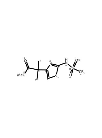 COC(=O)C(C)(C)c1csc(NS(=O)(=O)C(F)(F)F)n1